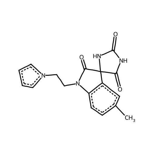 Cc1ccc2c(c1)C1(NC(=O)NC1=O)C(=O)N2CCn1cccc1